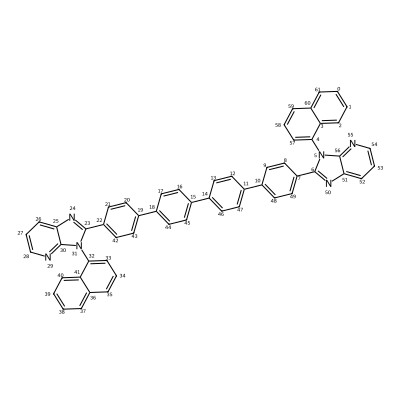 c1ccc2c(-n3c(-c4ccc(-c5ccc(-c6ccc(-c7ccc(-c8nc9cccnc9n8-c8cccc9ccccc89)cc7)cc6)cc5)cc4)nc4cccnc43)cccc2c1